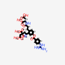 N=C(N)Nc1ccc(C(=O)Oc2ccc(CCC(=O)N[C@@H](CC(=O)O)C(=O)O)c(C3=NOC(CC(=O)O)(C(=O)O)C3)c2)cc1